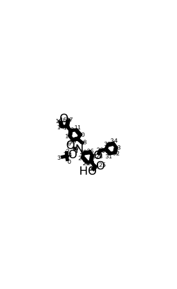 CC(C)(C)OC(=O)N(Cc1ccc(-c2ccoc2)cc1)c1ccc(C(=O)O)c(OCc2ccccc2)c1